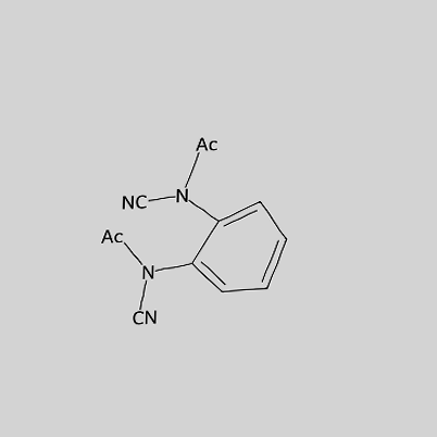 CC(=O)N(C#N)c1ccccc1N(C#N)C(C)=O